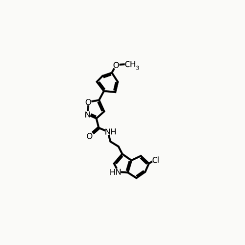 COc1ccc(-c2cc(C(=O)NCCc3c[nH]c4ccc(Cl)cc34)no2)cc1